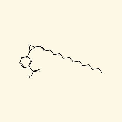 CCCCCCCCCCCCC=CC1OC1c1cccc(C(=O)O)c1